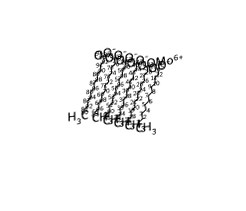 CCCCCCCCCCCCCC(=O)[O-].CCCCCCCCCCCCCC(=O)[O-].CCCCCCCCCCCCCC(=O)[O-].CCCCCCCCCCCCCC(=O)[O-].CCCCCCCCCCCCCC(=O)[O-].CCCCCCCCCCCCCC(=O)[O-].[Mo+6]